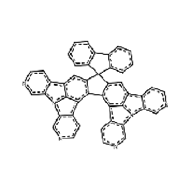 c1ccc2c(c1)-c1ccccc1C21c2cc3c4ccncc4n4c5cnccc5c(c2-c2c1cc1c5ccncc5n5c6cnccc6c2c15)c34